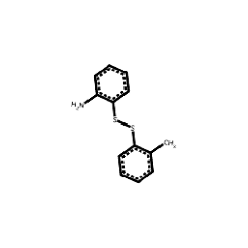 Cc1ccccc1SSc1ccccc1N